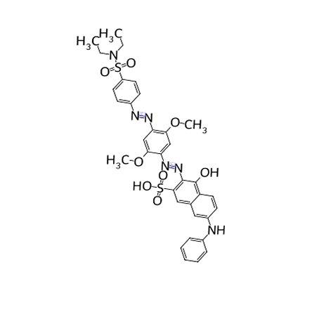 CCN(CC)S(=O)(=O)c1ccc(/N=N/c2cc(OC)c(/N=N/c3c(S(=O)(=O)O)cc4cc(Nc5ccccc5)ccc4c3O)cc2OC)cc1